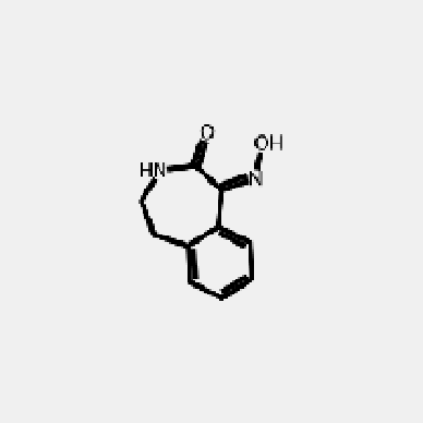 O=C1NCCc2ccccc2C1=NO